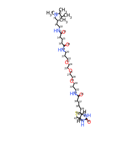 CC(C)C(C)N(C)CCCCNC(=O)CCCC(=O)NCCCOCCOCCOCCCNC(=O)CCCC[C@@H]1SC[C@@H]2NC(=O)N[C@@H]21